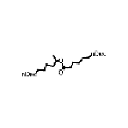 CCCCCCCCCCCCCCCC(=O)OC(C)CCCCCCCCCCCCCC